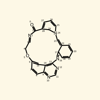 O=C1/N=C/COc2ccc3ncnc(c3c2)/N=c2\cccc\c2=C/N2C=CC=C1C2